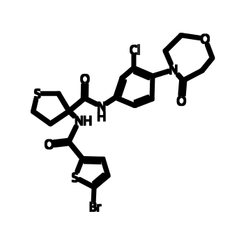 O=C(NC1(C(=O)Nc2ccc(N3CCOCCC3=O)c(Cl)c2)CCSC1)c1ccc(Br)s1